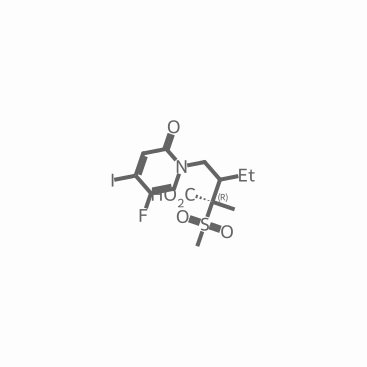 CCC(Cn1cc(F)c(I)cc1=O)[C@](C)(C(=O)O)S(C)(=O)=O